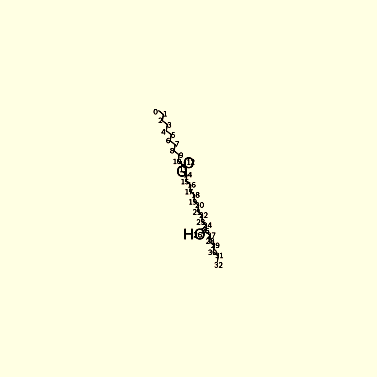 CCCCCCCCCCCC(=O)OCCCCCCCCCCCC(O)CCCCCC